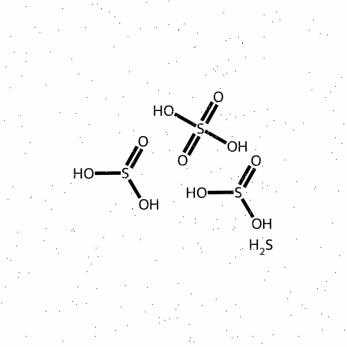 O=S(=O)(O)O.O=S(O)O.O=S(O)O.S